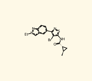 CCn1cc2cc(-c3nsc(NC(=O)[C@@H]4C[C@H]4C)c3Br)ccc2n1